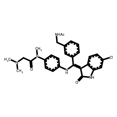 CC(=O)NCc1cccc(/C(Nc2ccc(N(C)C(=O)CN(C)C)cc2)=C2/C(=O)Nc3cc(Cl)ccc32)c1